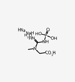 CN(CC(=O)O)C(=N)NP(=O)(O)O.O.[NaH].[NaH]